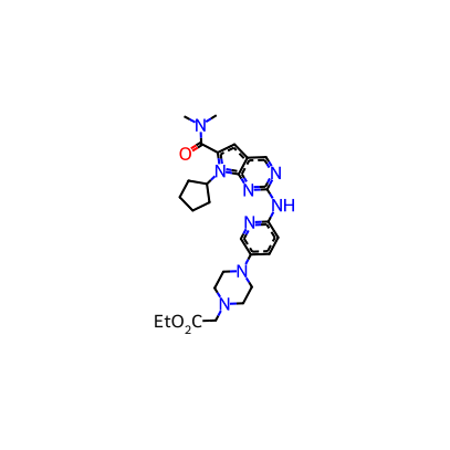 CCOC(=O)CN1CCN(c2ccc(Nc3ncc4cc(C(=O)N(C)C)n(C5CCCC5)c4n3)nc2)CC1